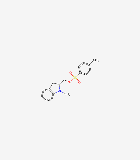 Cc1ccc(S(=O)(=O)OCC2Cc3ccccc3N2C)cc1